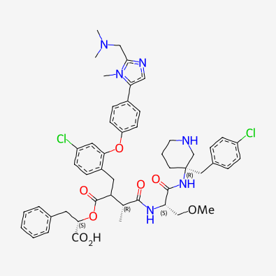 COC[C@H](NC(=O)[C@H](C)C(Cc1ccc(Cl)cc1Oc1ccc(-c2cnc(CN(C)C)n2C)cc1)C(=O)O[C@@H](Cc1ccccc1)C(=O)O)C(=O)N[C@@]1(Cc2ccc(Cl)cc2)CCCNC1